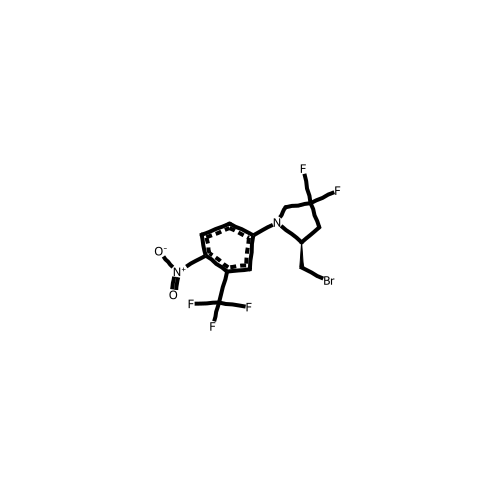 O=[N+]([O-])c1ccc(N2CC(F)(F)C[C@H]2CBr)cc1C(F)(F)F